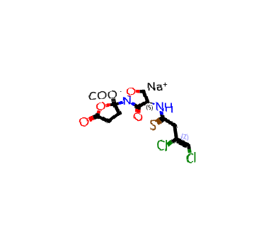 O=C1CCC(C(=O)[O-])(N2OC[C@H](NC(=S)C/C(Cl)=C/Cl)C2=O)O1.[Na+]